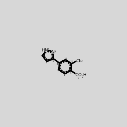 O=C(O)c1ccc(-c2cc[nH]n2)cc1Cl